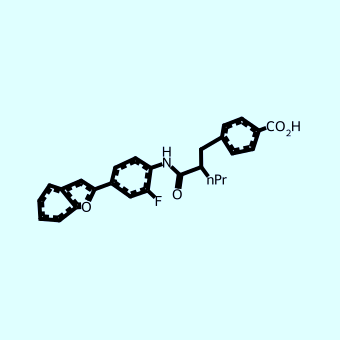 CCCC(Cc1ccc(C(=O)O)cc1)C(=O)Nc1ccc(-c2cc3ccccc3o2)cc1F